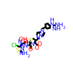 N=C(N)Nc1ccc(Cn2ccn3c2cc[n+]3CC2=C(C(=O)[O-])N3C(=O)[C@@H](NC(=O)/C(=N\O)c4nc(N)sc4Cl)[C@H]3SC2)cc1